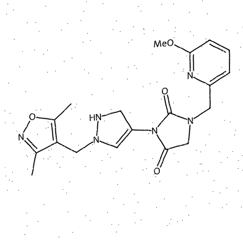 COc1cccc(CN2CC(=O)N(C3=CN(Cc4c(C)noc4C)NC3)C2=O)n1